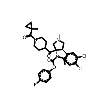 CC(C)N(C(=O)Oc1ccc(F)cc1)[C@]1(C(=O)C2CCN(C(=O)C3(C)CC3)CC2)CNC[C@H]1c1ccc(Cl)c(Cl)c1